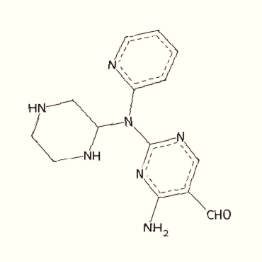 Nc1nc(N(c2ccccn2)C2CNCCN2)ncc1C=O